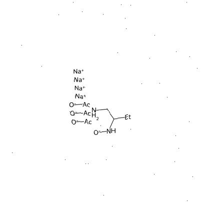 CC(=O)[O-].CC(=O)[O-].CC(=O)[O-].CCC(CN)N[O-].[Na+].[Na+].[Na+].[Na+]